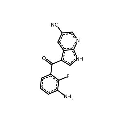 N#Cc1cnc2[nH]cc(C(=O)c3cccc(N)c3F)c2c1